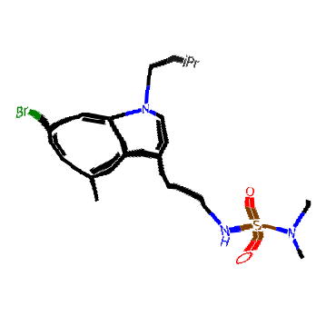 Cc1cc(Br)cc2c1c(CCNS(=O)(=O)N(C)C)cn2CC(C)C